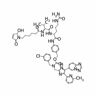 Cc1cccc(-c2nc(CN(Cc3cccc(Cl)c3)C(=O)OCc3ccc(NC(=O)C(CCCNC(N)=O)NC(=O)[C@@H](NC(=O)CCCCCN4C(=O)C=CC4O)C(C)C)cc3)[nH]c2-c2ccc3ncnn3c2)n1